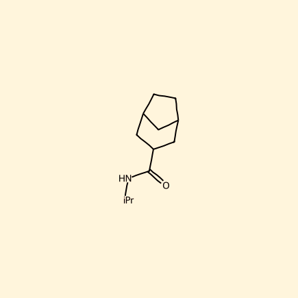 CC(C)NC(=O)C1CC2CCC(C2)C1